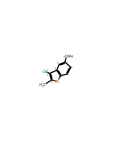 COc1ccc2sc(C)c(Cl)c2c1